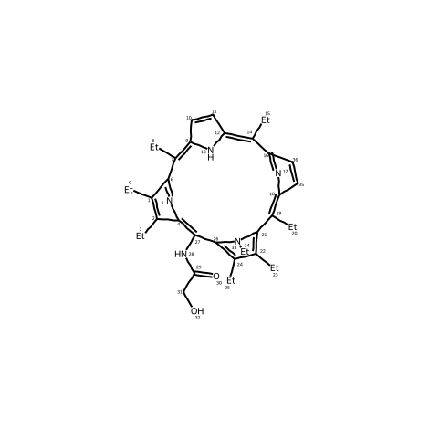 CCC1=C(CC)c2nc1c(CC)c1ccc([nH]1)c(CC)c1nc(c(CC)c3c(CC)c(CC)c(c2NC(=O)CO)n3CC)C=C1